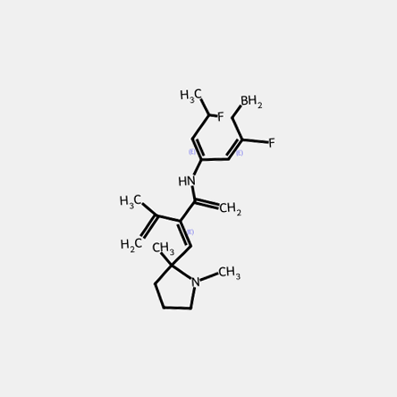 BC/C(F)=C\C(=C/C(C)F)NC(=C)/C(=C/C1(C)CCCN1C)C(=C)C